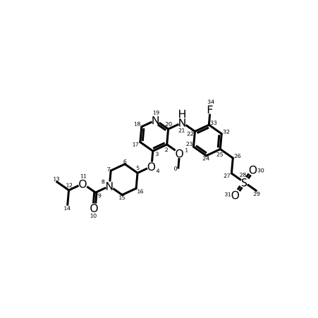 COc1c(OC2CCN(C(=O)OC(C)C)CC2)ccnc1Nc1ccc(CCS(C)(=O)=O)cc1F